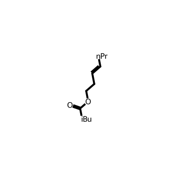 CCCC=CCCOC(=O)C(C)CC